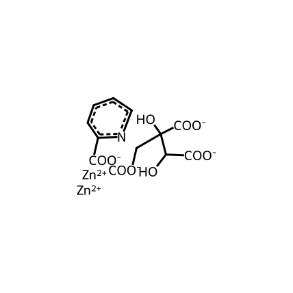 O=C([O-])CC(O)(C(=O)[O-])C(O)C(=O)[O-].O=C([O-])c1ccccn1.[Zn+2].[Zn+2]